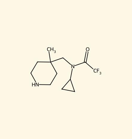 CC1(CN(C(=O)C(F)(F)F)C2CC2)CCNCC1